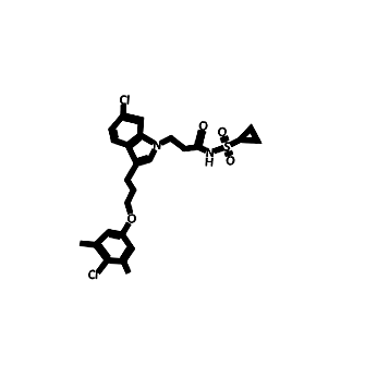 Cc1cc(OCCCc2cn(CCC(=O)NS(=O)(=O)C3CC3)c3cc(Cl)ccc23)cc(C)c1Cl